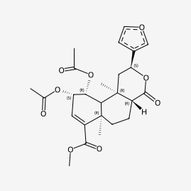 COC(=O)C1=C[C@H](OC(C)=O)[C@H](OC(C)=O)C2[C@@]1(C)CC[C@H]1C(=O)O[C@H](c3ccoc3)C[C@]21C